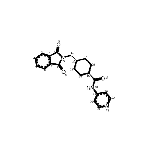 O=C1c2ccccc2C(=O)N1C[C@H]1CC[C@H](C(=O)Nc2ccncc2)CC1